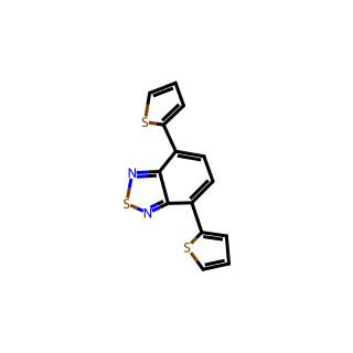 c1csc(-c2ccc(-c3cccs3)c3nsnc23)c1